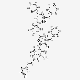 CCC(C)(OC(=O)OCc1c[nH]nn1)C(=O)[C@H](CC(C)C)NC(=O)[C@H](Cc1ccccc1)NC(=O)[C@H](CC(C)C)NC(=O)[C@H](CCc1ccccc1)NC(=O)CN1CCOCC1